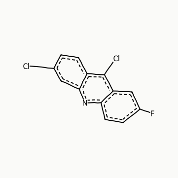 Fc1ccc2nc3cc(Cl)ccc3c(Cl)c2c1